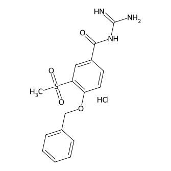 CS(=O)(=O)c1cc(C(=O)NC(=N)N)ccc1OCc1ccccc1.Cl